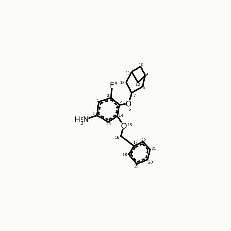 Nc1cc(F)c(OC2CC3CC(C3)C2)c(OCc2ccccc2)c1